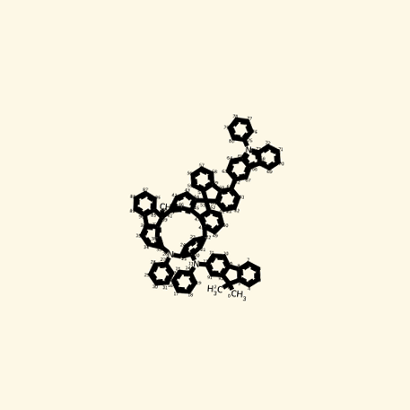 CC1(C)c2ccccc2-c2ccc(N(c3ccccc3)c3cc4ccc3N(c3ccccc3)c3ccc5c(c3)C(C)(c3ccc6c(c3)-c3c-4cccc3C63c4ccccc4-c4c(-c6ccc7c(c6)c6ccccc6n7-c6ccccc6)cccc43)c3ccccc3-5)cc21